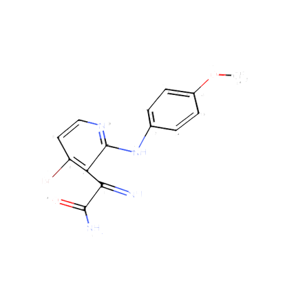 N=C(C(N)=O)c1c(Br)ccnc1Nc1ccc(OC(F)(F)F)cc1